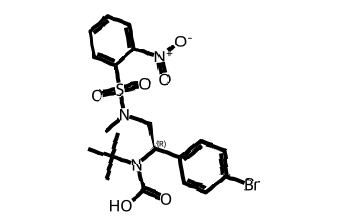 CN(C[C@@H](c1ccc(Br)cc1)N(C(=O)O)C(C)(C)C)S(=O)(=O)c1ccccc1[N+](=O)[O-]